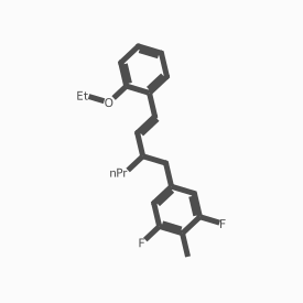 CCCC(/C=C/c1ccccc1OCC)Cc1cc(F)c(C)c(F)c1